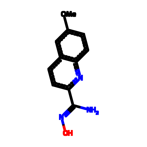 COc1ccc2nc(/C(N)=N/O)ccc2c1